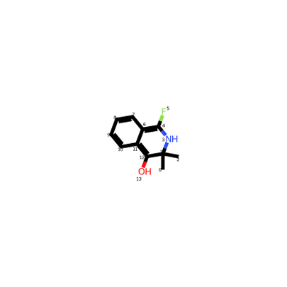 CC1(C)NC(F)=c2ccccc2=C1O